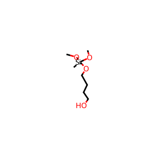 CO[Si](C)(OC)OCCCCO